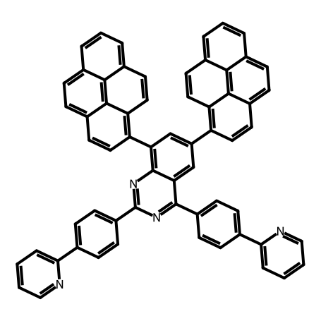 c1ccc(-c2ccc(-c3nc(-c4ccc(-c5ccccn5)cc4)c4cc(-c5ccc6ccc7cccc8ccc5c6c78)cc(-c5ccc6ccc7cccc8ccc5c6c78)c4n3)cc2)nc1